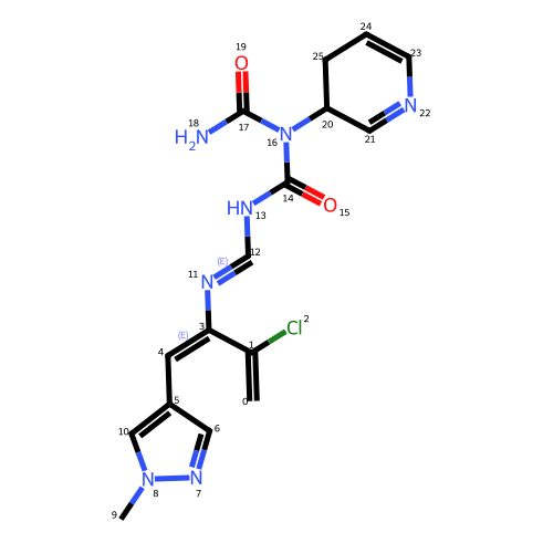 C=C(Cl)C(=C\c1cnn(C)c1)/N=C/NC(=O)N(C(N)=O)C1C=NC=CC1